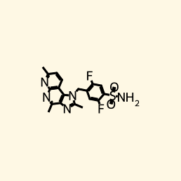 Cc1ccc2c(n1)nc(C)c1nc(C)n(Cc3cc(F)c(S(N)(=O)=O)cc3F)c12